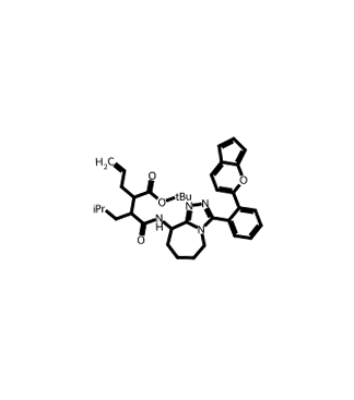 C=CCC(C(=O)OC(C)(C)C)C(CC(C)C)C(=O)NC1CCCCn2c(-c3ccccc3-c3ccc4cccc-4o3)nnc21